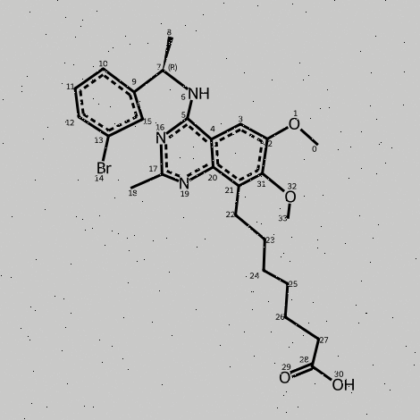 COc1cc2c(N[C@H](C)c3cccc(Br)c3)nc(C)nc2c(CCCCCCC(=O)O)c1OC